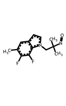 Cc1cc2ccn(CC(C)(C)N=O)c2c(F)c1F